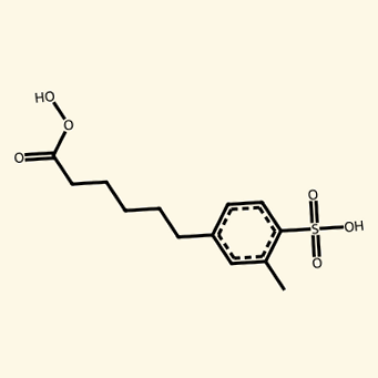 Cc1cc(CCCCCC(=O)OO)ccc1S(=O)(=O)O